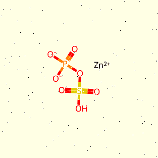 O=P([O-])([O-])OS(=O)(=O)O.[Zn+2]